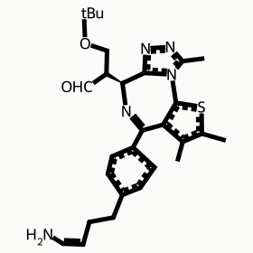 Cc1sc2c(c1C)C(c1ccc(CC/C=C\N)cc1)=N[C@@H](C(C=O)COC(C)(C)C)c1nnc(C)n1-2